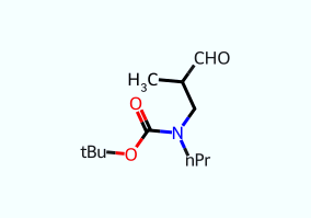 CCCN(CC(C)C=O)C(=O)OC(C)(C)C